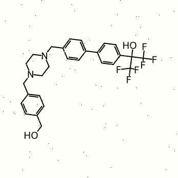 OCc1ccc(CN2CCN(Cc3ccc(-c4ccc(C(O)(C(F)(F)F)C(F)(F)F)cc4)cc3)CC2)cc1